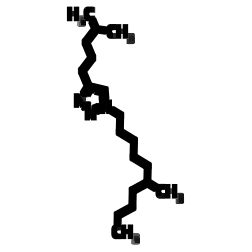 CCCCC(C)CCCCCn1cc(CCCC(C)C)nn1